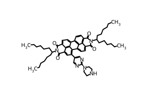 CCCCCCC(CCCCCC)N1C(=O)c2ccc3c4ccc5c6c(cc(-c7cnc(N8CCNCC8)nc7)c(c7ccc(c2c37)C1=O)c64)C(=O)N(C(CCCCCC)CCCCCC)C5=O